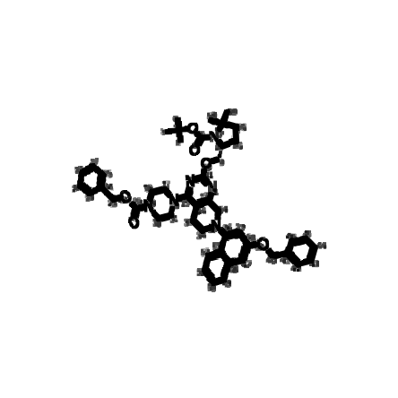 CC(C)(C)OC(=O)N1[C@@H](COc2nc3c(c(N4CCN(C(=O)OCc5ccccc5)CC4)n2)CCN(c2cc(OCc4ccccc4)cc4ccccc24)C3)CCC1(C)C